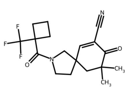 CC1(C)CC2(C=C(C#N)C1=O)CCN(C(=O)C1(C(F)(F)F)CCC1)C2